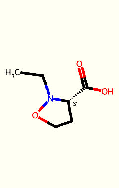 CCN1OCC[C@H]1C(=O)O